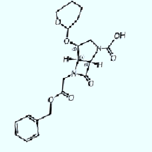 O=C(CN1C(=O)[C@@H]2[C@H]1[C@@H](OC1CCCCO1)CN2C(=O)O)OCc1ccccc1